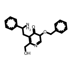 NC(CC1=C(CO)N=CC(OCc2ccccc2)C1=O)c1ccccc1